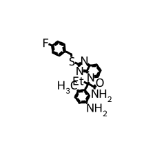 CCC(C(N)=O)(c1cc(N)ccc1C)n1cccc2nc(SCc3ccc(F)cc3)nc1-2